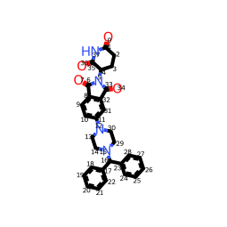 O=C1CCC(N2C(=O)c3ccc(N4CCN(C(c5ccccc5)c5ccccc5)CC4)cc3C2=O)C(=O)N1